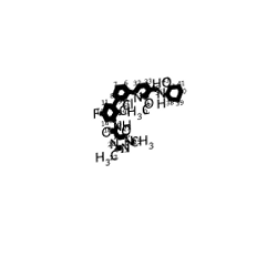 COc1nc(-c2cccc(-c3cc(F)cc(NC(=O)c4nc(C)nn(C)c4=O)c3Cl)c2Cl)ccc1CN[C@@H]1CCCC[C@@H]1O